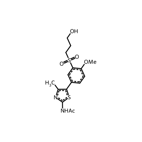 COc1ccc(-c2sc(NC(C)=O)nc2C)cc1S(=O)(=O)CCCO